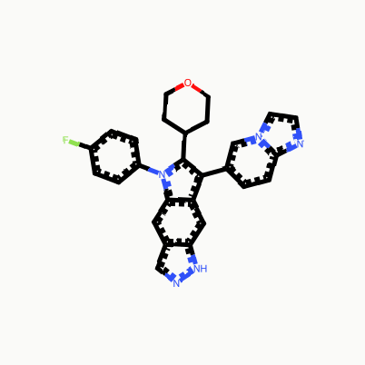 Fc1ccc(-n2c(C3CCOCC3)c(-c3ccc4nccn4c3)c3cc4[nH]ncc4cc32)cc1